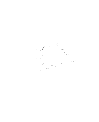 C/C(=C/CCC(C)CCO)CO.CC(O)CCCCCCO